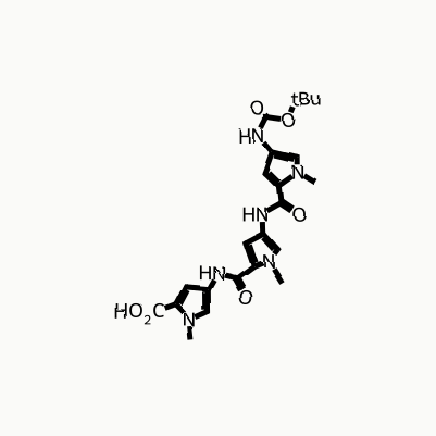 Cn1cc(NC(=O)c2cc(NC(=O)c3cc(NC(=O)OC(C)(C)C)cn3C)cn2C)cc1C(=O)O